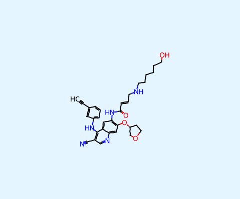 C#Cc1cccc(Nc2c(C#N)cnc3cc(O[C@H]4CCOC4)c(NC(=O)C=CCNCCCCCCO)cc23)c1